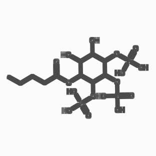 CCCCC(=O)OC1C(O)C(O)C(OP(=O)(O)O)C(OP(=O)(O)O)C1OP(=O)(O)O